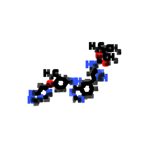 Cc1cc(Nc2ncnc3ccc(-c4cc(NC(=O)OC(C)(C)C)n[nH]4)cc23)ccc1Oc1cc2nncn2cn1